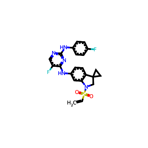 C=CS(=O)(=O)N1CC2(CC2)c2ccc(Nc3nc(Nc4ccc(F)cc4)ncc3F)cc21